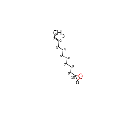 CC=CCCCCCCCC1CO1